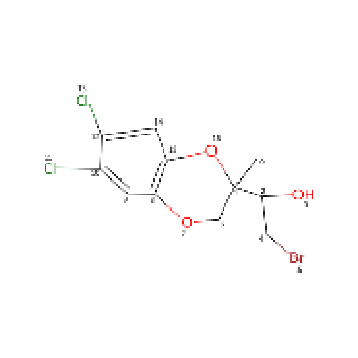 CC1(C(O)CBr)COc2cc(Cl)c(Cl)cc2O1